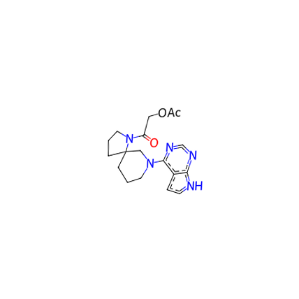 CC(=O)OCC(=O)N1CCCC12CCCN(c1ncnc3[nH]ccc13)C2